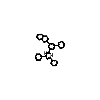 c1ccc(-c2cc(-c3ccc4ccccc4c3)cc(-c3nc(-c4ccccc4)cc(-c4ccccc4)n3)c2)cc1